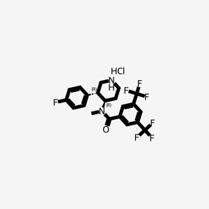 CN(C(=O)c1cc(C(F)(F)F)cc(C(F)(F)F)c1)[C@@H]1CCNC[C@H]1c1ccc(F)cc1.Cl